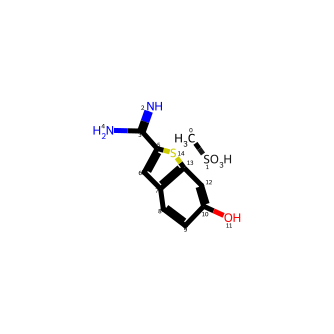 CS(=O)(=O)O.N=C(N)c1cc2ccc(O)cc2s1